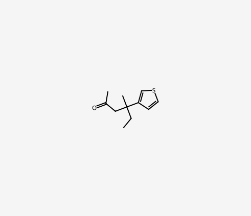 CCC(C)(CC(C)=O)c1ccsc1